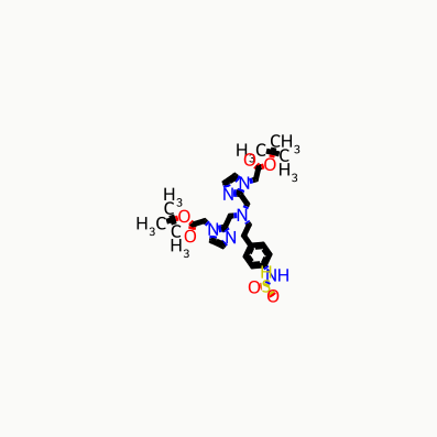 CC(C)(C)OC(=O)Cn1ccnc1CN(CCc1ccc(N[SH](=O)=O)cc1)Cc1nccn1CC(=O)OC(C)(C)C